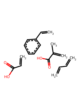 C=C(C)C(=O)O.C=CC(=O)O.C=CC=C.C=Cc1ccccc1